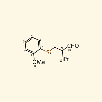 COc1ccccc1SCC(C=O)C(C)C